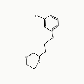 CCc1cccc(OCCC2COCCO2)c1